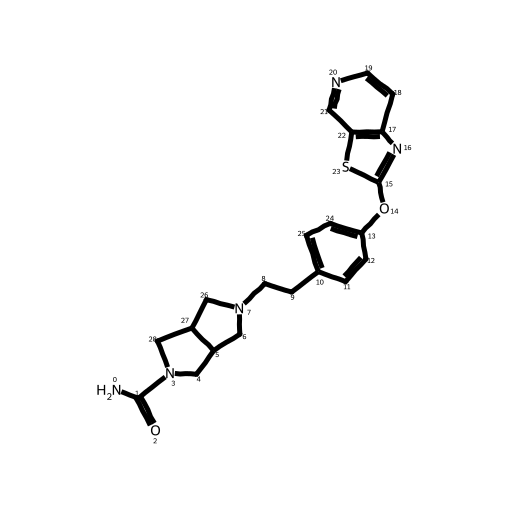 NC(=O)N1CC2CN(CCc3ccc(Oc4nc5ccncc5s4)cc3)CC2C1